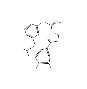 N#C/N=C(/Nc1cccc(OC(F)F)c1)N1CCC(c2ccc(Cl)c(Cl)c2)=N1